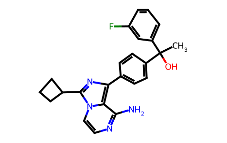 CC(O)(c1ccc(-c2nc(C3CCC3)n3ccnc(N)c23)cc1)c1cccc(F)c1